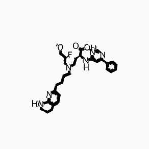 COC[C@@H](F)CN(CCCCc1ccc2c(n1)NCCC2)CC[C@H](Nc1cc(-c2ccccc2)ncn1)C(=O)O